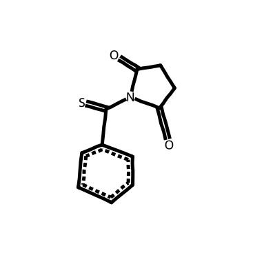 O=C1CCC(=O)N1C(=S)c1ccccc1